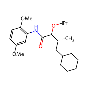 COc1ccc(OC)c(NC(=O)C(OC(C)C)[C@H](C)CC2CCCCC2)c1